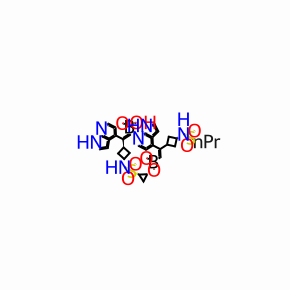 CCCS(=O)(=O)NC1CC(C2=CB(OC3CC3S(=O)(=O)N[C@H]3C[C@H](C4=CB(O)Oc5cnc6[nH]ccc6c54)C3)Oc3cnc4[nH]ccc4c32)C1